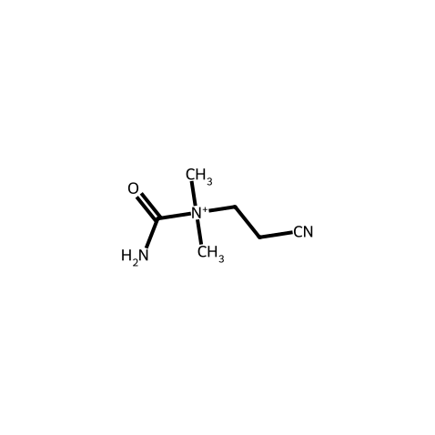 C[N+](C)(CCC#N)C(N)=O